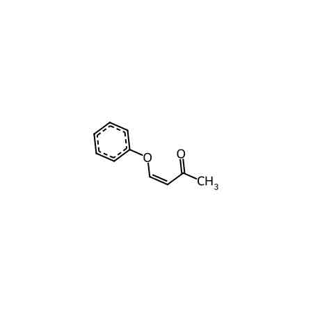 CC(=O)/C=C\Oc1ccccc1